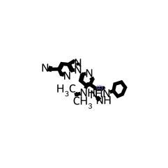 CC(C)Nc1cc(-n2ncc3cc(C#N)cnc32)ncc1/C(=C/NC1CCCCC1)N=N